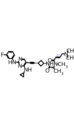 C[C@@H](C(=O)N[C@H]1C[C@@H](C#Cc2cnc(Nc3cccc(F)c3)nc2NC2CC2)C1)N(C)C(=O)/C=C/CN(C)C